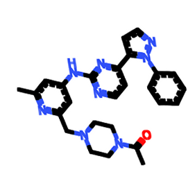 CC(=O)N1CCN(Cc2cc(Nc3nccc(-c4ccnn4-c4ccccc4)n3)cc(C)n2)CC1